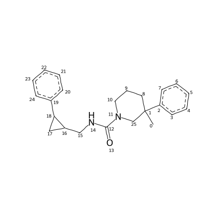 CC1(c2ccccc2)CCCN(C(=O)NCC2CC2c2ccccc2)C1